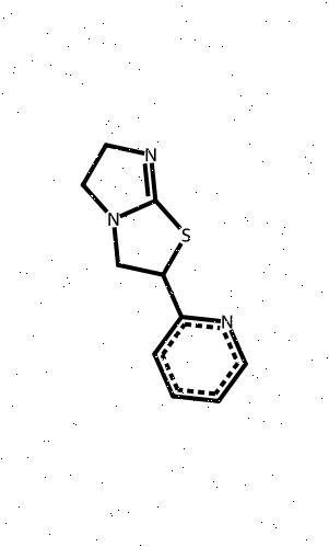 c1ccc(C2CN3CCN=C3S2)nc1